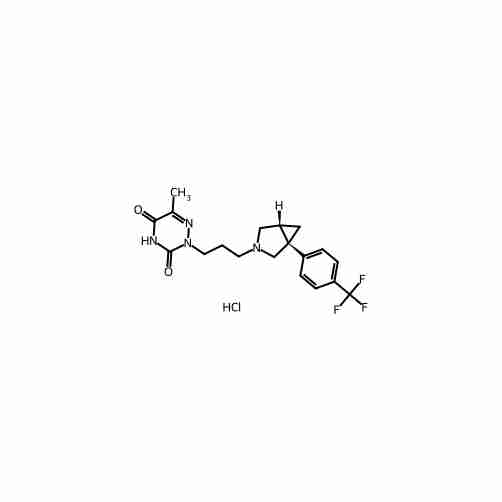 Cc1nn(CCCN2C[C@@H]3C[C@]3(c3ccc(C(F)(F)F)cc3)C2)c(=O)[nH]c1=O.Cl